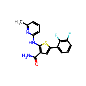 Cc1cccc(Nc2sc(-c3cccc(F)c3F)cc2C(N)=O)n1